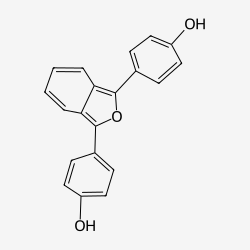 Oc1ccc(-c2oc(-c3ccc(O)cc3)c3ccccc23)cc1